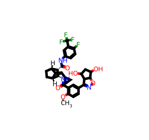 COc1ccc(C2=NOC3C(O)CC(O)C23)cc1C(=O)N[C@H]1[C@@H](C(=O)Nc2ccc(F)c(C(F)(F)F)c2)[C@H]2CC[C@@H]1/C2=C\C1CC1